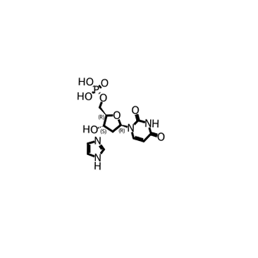 O=c1ccn([C@H]2C[C@H](O)[C@@H](COP(=O)(O)O)O2)c(=O)[nH]1.c1c[nH]cn1